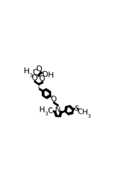 CSc1ccc(-c2ccc(C)n2CCOc2ccc(C[C@H]3CO[C@@](C)(C(=O)O)OC3)cc2)cc1